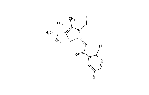 CCn1c(C)c(C(C)(C)C)s/c1=N\C(=O)c1cc(Cl)ccc1Cl